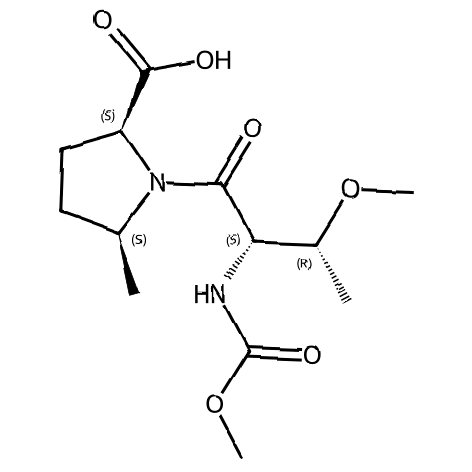 COC(=O)N[C@H](C(=O)N1[C@@H](C)CC[C@H]1C(=O)O)[C@@H](C)OC